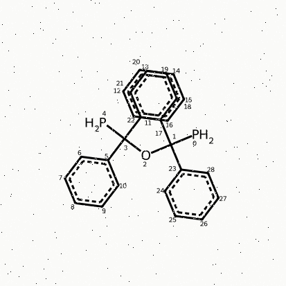 PC(OC(P)(c1ccccc1)c1ccccc1)(c1ccccc1)c1ccccc1